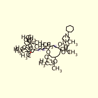 CCOC(C)OC1(C)CCC(O[Si](CC)(CC)CC)CC(=O)OC(/C(C)=C/C=C/C(C)(CC2OC2C(C)C(CC)O[Si](CC)(CC)CC)O[Si](CC)(CC)CC)C(C)/C=C/C1OC(=O)N1CCN(C2CCCCCC2)CC1